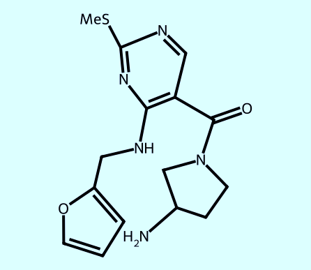 CSc1ncc(C(=O)N2CCC(N)C2)c(NCc2ccco2)n1